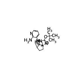 CC(C)(C)OC(=O)N[C@H]1C2CC[C@@H]1CN(c1cccnc1N)C2